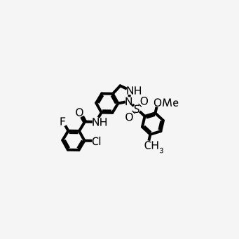 COc1ccc(C)cc1S(=O)(=O)N1NCc2ccc(NC(=O)c3c(F)cccc3Cl)cc21